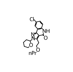 CCCOCCc1c2c(=O)[nH]c3ccc(Cl)cc3c2nn1C1CCCCO1